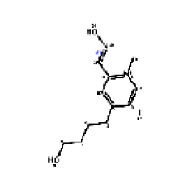 C[n+]1ccc(CCCCO)cc1/C=N/O.[I-]